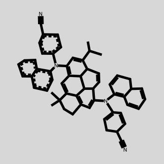 CC(C)C1=CC(N(c2ccc(C#N)cc2)c2cccc3ccccc23)=C2C=C3C4=C(C=C(N(C5=CCC(C#N)C=C5)C5=C6C=CC=CC6CC=C5)C5C=CC1C2C45)CCC3(C)C